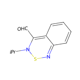 CC(C)N1SN=c2ccccc2=C1C=O